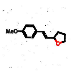 COc1ccc(C=CC2CCCO2)cc1